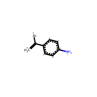 C=C(C(C)=O)c1ccc(N)cc1